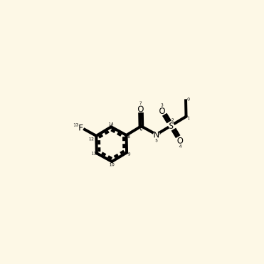 CCS(=O)(=O)[N]C(=O)c1cccc(F)c1